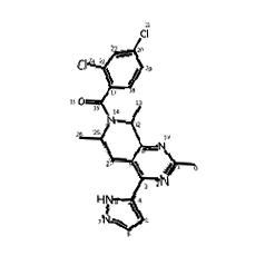 Cc1nc(-c2ccn[nH]2)c2c(n1)C(C)N(C(=O)c1ccc(Cl)cc1Cl)C(C)C2